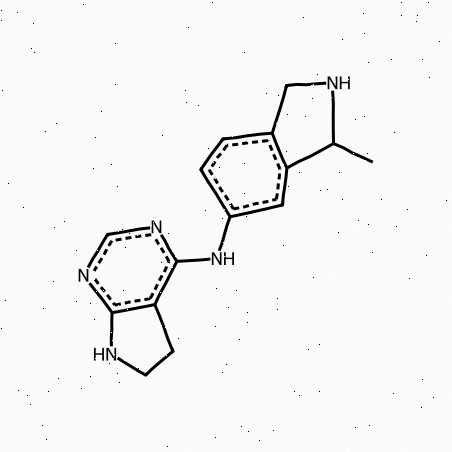 CC1NCc2ccc(Nc3ncnc4c3CCN4)cc21